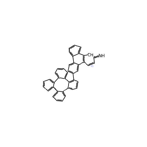 Cc1c(/C=C\C=N)c2cc(-c3cccc4c3-c3ccccc3-c3ccccc3-c3ccccc3-4)ccc2c2ccccc12